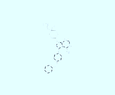 NCC1(O)CCC(n2cc(-c3ccc(Oc4ccccc4)cc3)c3c(N)ncnc32)CC1